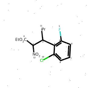 CCOC(=O)C(C(c1c(F)cccc1Cl)C(C)C)[N+](=O)[O-]